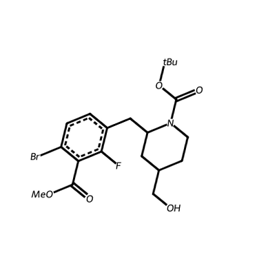 COC(=O)c1c(Br)ccc(CC2CC(CO)CCN2C(=O)OC(C)(C)C)c1F